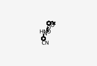 CC1(C)Cc2cccc(OCC(=O)NN=Cc3ccc(C#N)cc3)c2O1